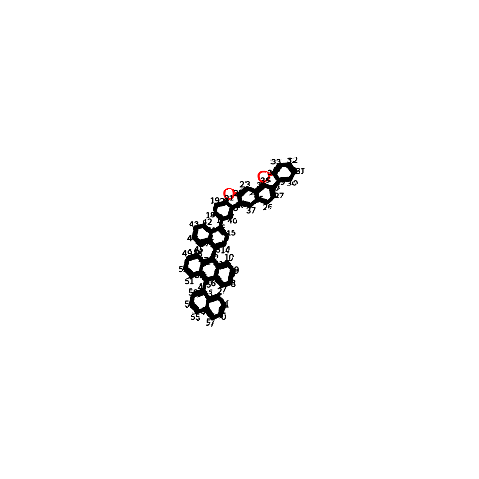 c1ccc2c(-c3c4ccccc4c(-c4ccc(-c5ccc6oc7cc8c(ccc9c%10ccccc%10oc89)cc7c6c5)c5ccccc45)c4ccccc34)cccc2c1